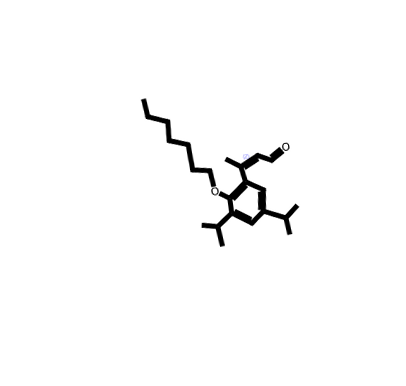 CCCCCCCOc1c(/C(C)=C\C=O)cc(C(C)C)cc1C(C)C